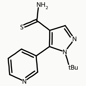 CC(C)(C)n1ncc(C(N)=S)c1-c1cccnc1